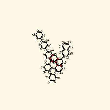 c1ccc(-c2ccc(-c3ccc(N(c4cccc(-c5ccc6ccccc6c5)c4)c4cccc(-c5ccccc5)c4-c4ccccc4-c4ccccc4)cc3)cc2)cc1